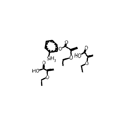 C=C(OCC)C(=O)O.C=C(OCC)C(=O)O.C=C(OCC)C(=O)O.[SiH3]c1ccccc1